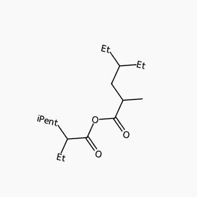 CCCC(C)C(CC)C(=O)OC(=O)C(C)CC(CC)CC